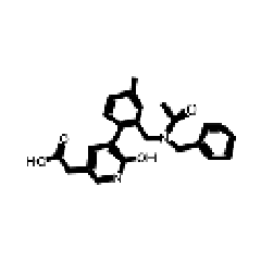 CC(=O)N(Cc1ccccc1)Cc1cc(C)ccc1-c1cc(CC(=O)O)cnc1O